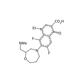 CCn1cc(C(=O)O)c(=O)c2cc(F)c(N3CCCOC(CNC)C3)c(F)c21